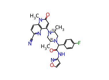 C[C@@H]1CN(c2cc(=O)n(C)c3ccc(C#N)nc23)[C@@H](C)CN1C(C(=O)Nc1ccon1)c1ccc(F)cc1